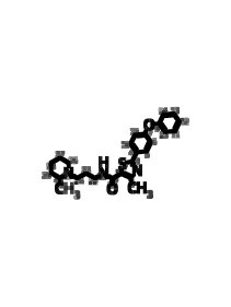 Cc1nc(-c2ccc(Oc3ccccc3)cc2)sc1C(=O)NCCCN1CCCCC1C